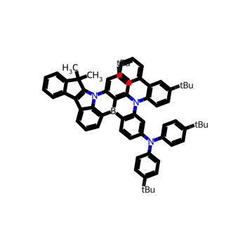 CC(C)(C)c1ccc(N(c2ccc(C(C)(C)C)cc2)c2ccc3c(c2)N(c2ccc(C(C)(C)C)cc2-c2ccccc2)c2cc(C(C)(C)C)cc4c2B3c2cccc3c5c(n-4c23)C(C)(C)c2ccccc2-5)cc1